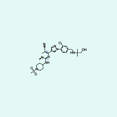 C=N/C(=N\C(=C(/C)C#N)c1cnn(-c2ccc(CNC(C)(C)CO)cc2Cl)c1)NC1CCN(S(C)(=O)=O)CC1